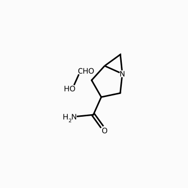 NC(=O)C1CC2CN2C1.O=CO